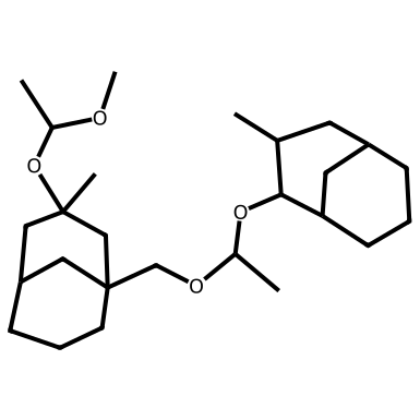 COC(C)OC1(C)CC2CCCC(COC(C)OC3C(C)CC4CCCC3C4)(C2)C1